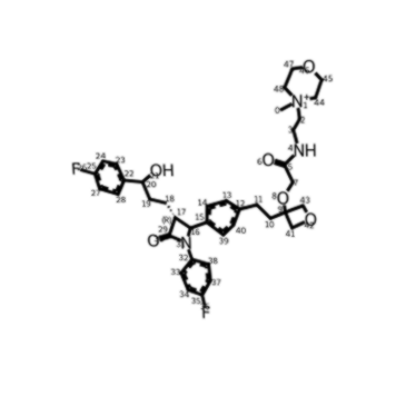 C[N+]1(CCNC(=O)COC2(CCc3ccc(C4[C@@H](CCC(O)c5ccc(F)cc5)C(=O)N4c4ccc(F)cc4)cc3)COC2)CCOCC1